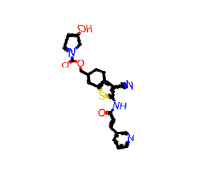 N#Cc1c(NC(=O)/C=C/c2cccnc2)sc2c1CCC(COC(=O)N1CCC(O)C1)C2